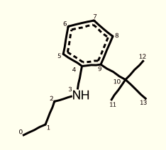 CCCNc1ccccc1C(C)(C)C